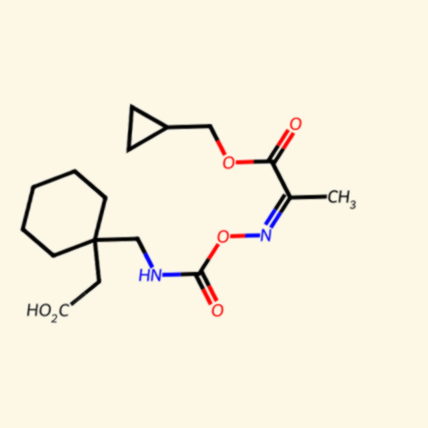 CC(=NOC(=O)NCC1(CC(=O)O)CCCCC1)C(=O)OCC1CC1